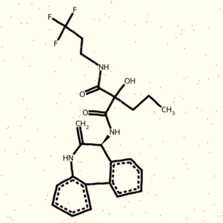 C=C1Nc2ccccc2-c2ccccc2[C@@H]1NC(=O)C(O)(CCC)C(=O)NCCC(F)(F)F